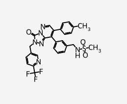 Cc1ccc(-c2cnn3c(=O)n(Cc4ccc(C(F)(F)F)nc4)nc3c2-c2cccc(CNS(C)(=O)=O)c2)cc1